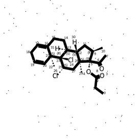 CCC(=O)O[C@@]1(C(C)=O)[C@H](C)C[C@H]2[C@@H]3CCC4=CCC=C[C@]4(C)[C@@]3(Cl)[C@@H](Cl)C[C@@]21C